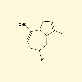 CC1=CCC2C(C=O)=CCC(C(C)C)CC12